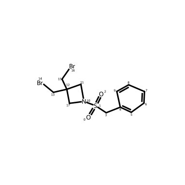 O=S(=O)(Cc1ccccc1)N1CC(CBr)(CBr)C1